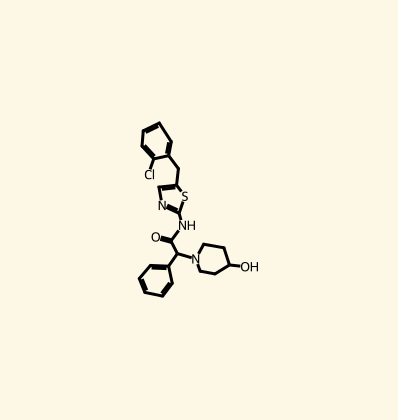 O=C(Nc1ncc(Cc2ccccc2Cl)s1)C(c1ccccc1)N1CCC(O)CC1